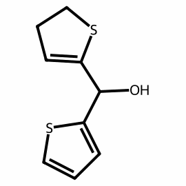 OC(C1=CCCS1)c1cccs1